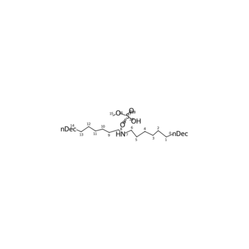 CCCCCCCCCCCCCCCCNCCCCCCCCCCCCCCCC.COS(=O)(=O)O